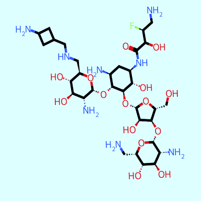 NC[C@@H]1O[C@H](O[C@H]2[C@@H](O)[C@H](O[C@@H]3[C@@H](O)[C@H](NC(=O)C(O)[C@@H](F)CN)C[C@H](N)[C@H]3O[C@H]3O[C@H](CNCC4CC(N)C4)[C@@H](O)[C@H](O)[C@H]3N)O[C@@H]2CO)[C@H](N)[C@@H](O)[C@@H]1O